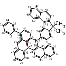 CC1(C)c2ccc(N(c3ccc(-c4ccccc4)cc3)c3c(-c4cccc5ccccc45)ccc4ccccc34)cc2-c2c1ccc1ccccc21